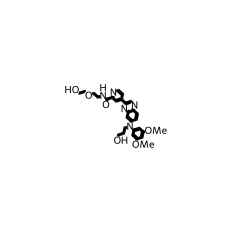 COc1cc(OC)cc(N(CCCO)c2ccc3ncc(-c4ccnc(C(=O)NCCOCCO)c4)nc3c2)c1